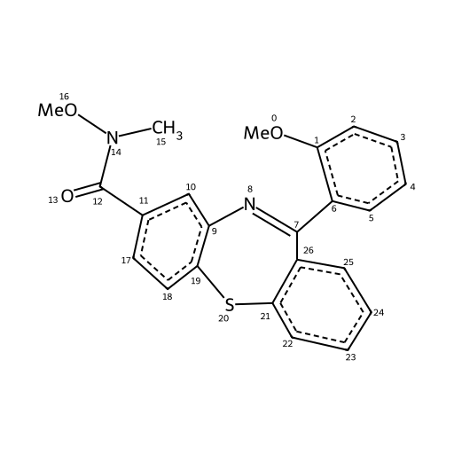 COc1ccccc1C1=Nc2cc(C(=O)N(C)OC)ccc2Sc2ccccc21